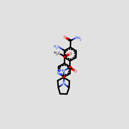 CC(=O)c1ccc(N2C3CCC2CC(NC(=O)c2ccc(C(N)=O)c(N)c2)C3)nc1